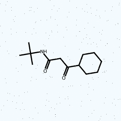 CC(C)(C)NC(=O)CC(=O)C1CCCCC1